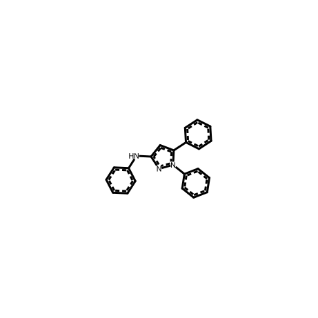 c1ccc(Nc2cc(-c3ccccc3)n(-c3ccccc3)n2)cc1